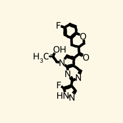 C[C@@H](O)Cn1cc(C(=O)C2COc3ccc(F)cc3C2)c2cnc(-c3cn[nH]c3F)nc21